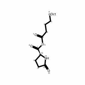 CCCCCCCCCCCC(=O)OC(=O)[C@@H]1CCC(=O)N1